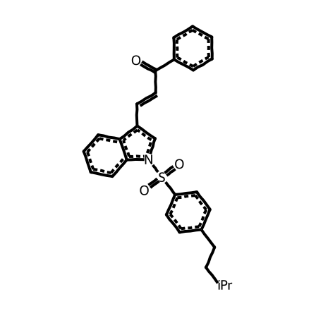 CC(C)CCc1ccc(S(=O)(=O)n2cc(/C=C/C(=O)c3ccccc3)c3ccccc32)cc1